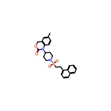 Cc1ccc2c(c1)COC(=O)N2C1CCN(S(=O)(=O)CCc2cccc3ccccc23)CC1